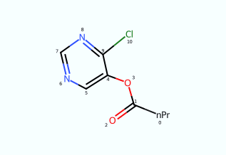 CCCC(=O)Oc1cncnc1Cl